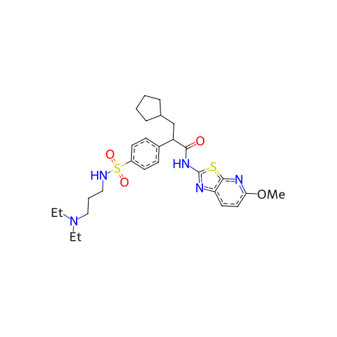 CCN(CC)CCCNS(=O)(=O)c1ccc(C(CC2CCCC2)C(=O)Nc2nc3ccc(OC)nc3s2)cc1